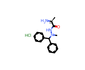 C[C@H](N)C(=O)NN(C)C(c1ccccc1)c1ccccc1.Cl